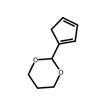 C1=CCC(C2OCCCO2)=C1